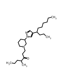 CCCCCCC(CCC)c1cnn(C2CCCN(CCC(=O)C(C)CCC)C2)c1